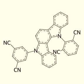 N#Cc1cc(C#N)cc(-n2c3ccccc3c3c2ccc2c4ccccc4n(-c4c(C#N)cccc4C#N)c23)c1